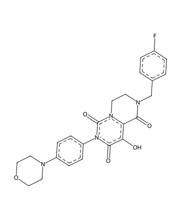 O=C1c2c(O)c(=O)n(-c3ccc(N4CCOCC4)cc3)c(=O)n2CCN1Cc1ccc(F)cc1